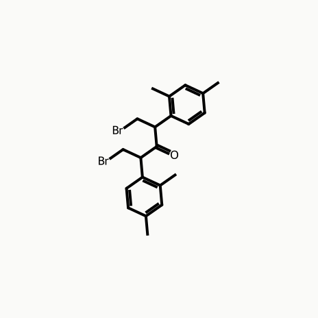 Cc1ccc(C(CBr)C(=O)C(CBr)c2ccc(C)cc2C)c(C)c1